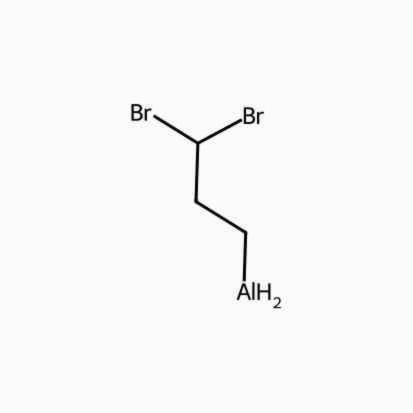 [AlH2][CH2]CC(Br)Br